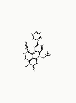 Cn1c(=O)cc(N(CC2CC2)c2ccc(-c3cccnc3)cc2)c2nc(C#N)ccc21